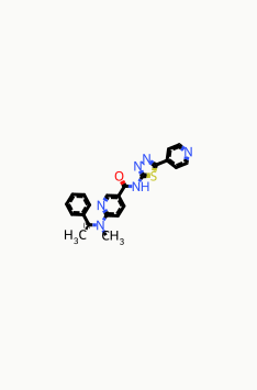 C[C@@H](c1ccccc1)N(C)c1ccc(C(=O)Nc2nnc(-c3ccncc3)s2)cn1